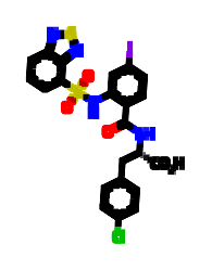 O=C(N[C@@H](Cc1ccc(Cl)cc1)C(=O)O)c1ccc(I)cc1NS(=O)(=O)c1cccc2nsnc12